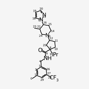 Cc1cc(CNC(=O)C2(C(C)C)CCC(N3CCC(n4cccn4)C(C)C3)C2)cc(C(F)(F)F)c1